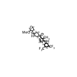 COC1COCCC1NC1CCN(C(=O)c2ncnc(Nc3cc(C(F)(F)F)cc(C(F)(F)F)c3)c2C)CC1